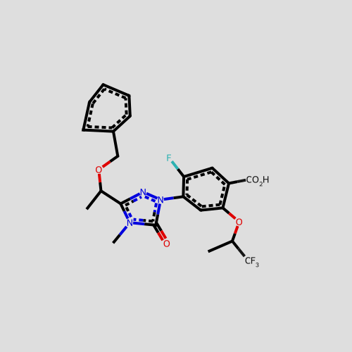 CC(OCc1ccccc1)c1nn(-c2cc(OC(C)C(F)(F)F)c(C(=O)O)cc2F)c(=O)n1C